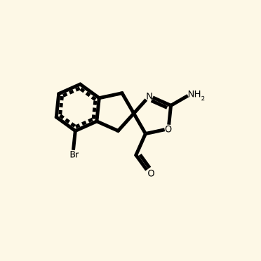 NC1=NC2(Cc3cccc(Br)c3C2)C(C=O)O1